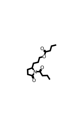 CCCC(=O)OCCCC1CCC(=O)N1C(=O)CCC